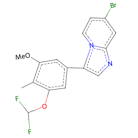 COc1cc(-c2cnc3cc(Br)ccn23)cc(OC(F)F)c1C